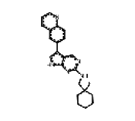 FC1(CNc2ncc3c(-c4ccc5ncccc5c4)c[nH]c3n2)CCCCC1